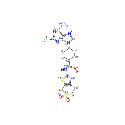 Nc1nc(Cl)nc2c1ncn2C1CCC(C(=O)Nc2nc3c(s2)CS(=O)(=O)CC3)CC1